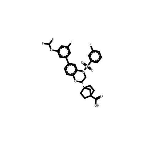 O=C(O)C12CCC([C@H]3CN(S(=O)(=O)c4cccc(F)c4)c4cc(-c5cc(F)cc(OC(F)F)c5)ccc4O3)(CC1)C2